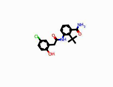 CC(C)(C)c1c(NC(=O)Cc2cc(Cl)ccc2O)cccc1C(N)=O